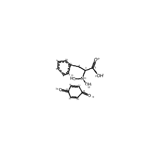 O=C(O)C(Cc1ccccc1)N(O)O.O=C1C=CC(=O)C=C1